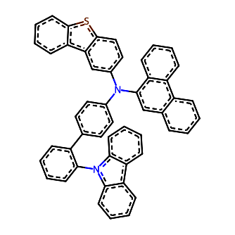 c1ccc(-n2c3ccccc3c3ccccc32)c(-c2ccc(N(c3ccc4sc5ccccc5c4c3)c3cc4ccccc4c4ccccc34)cc2)c1